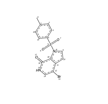 Cc1ccc(S(=O)(=O)n2ccc3c(Br)c[nH]c(=O)c32)cc1